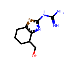 N=C(N)Nc1nc2c(s1)CCCC2CO